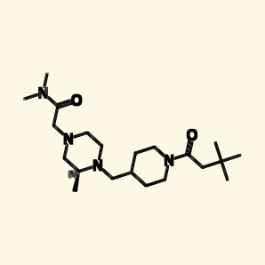 C[C@H]1CN(CC(=O)N(C)C)CCN1CC1CCN(C(=O)CC(C)(C)C)CC1